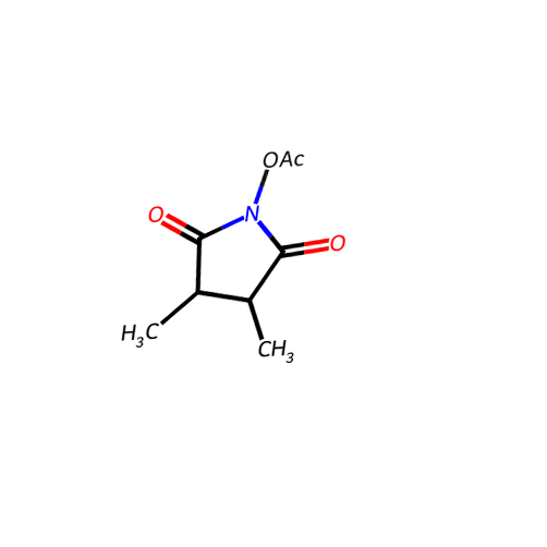 CC(=O)ON1C(=O)C(C)C(C)C1=O